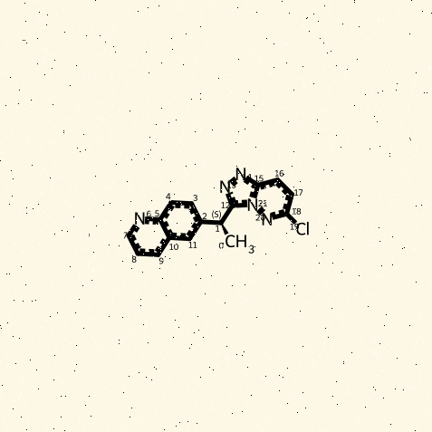 C[C@@H](c1ccc2ncccc2c1)c1nnc2ccc(Cl)nn12